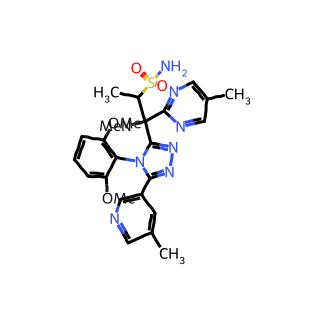 CNC(c1ncc(C)cn1)(c1nnc(-c2cncc(C)c2)n1-c1c(OC)cccc1OC)C(C)S(N)(=O)=O